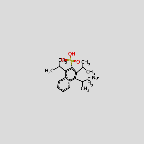 CC(C)c1c(S(=O)(=O)O)c(C(C)C)c2ccccc2c1C(C)C.[Na]